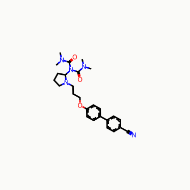 CN(C)C(=O)N(C(=O)N(C)C)C1CCCN1CCCOc1ccc(-c2ccc(C#N)cc2)cc1